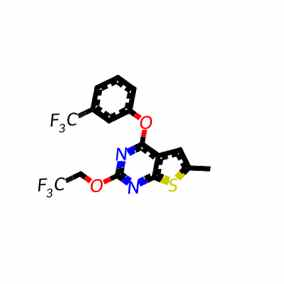 Cc1cc2c(Oc3cccc(C(F)(F)F)c3)nc(OCC(F)(F)F)nc2s1